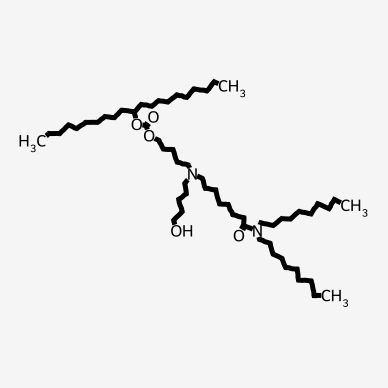 CCCCCCCCCCC(CCCCCCCCCC)OC(=O)OCCCCCN(CCCCCO)CCCCCCCC(=O)N(CCCCCCCCCC)CCCCCCCCCC